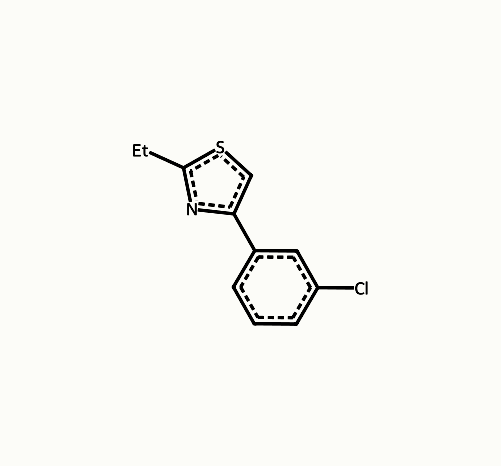 CCc1nc(-c2cccc(Cl)c2)cs1